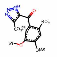 CCOC(=O)c1nn[nH]c1C(=O)c1cc(OC(C)C)c(OC)cc1[N+](=O)[O-]